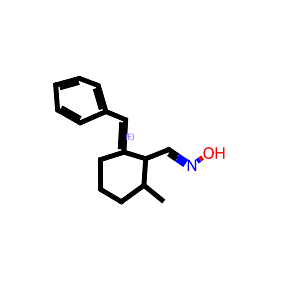 CC1CCC/C(=C\c2ccccc2)C1C=NO